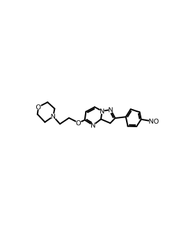 O=Nc1ccc(C2=NN3C=CC(OCCN4CCOCC4)=NC3C2)cc1